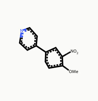 COc1ccc(-c2ccncc2)cc1[N+](=O)[O-]